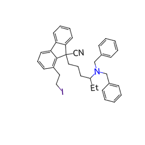 CCC(CCCC1(C#N)c2ccccc2-c2cccc(CCI)c21)N(Cc1ccccc1)Cc1ccccc1